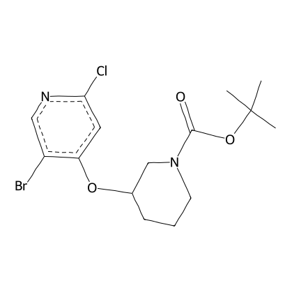 CC(C)(C)OC(=O)N1CCCC(Oc2cc(Cl)ncc2Br)C1